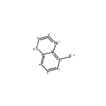 Fc1cccc2c1N=C=CS2